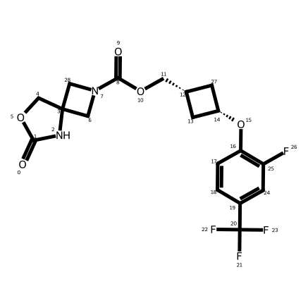 O=C1NC2(CO1)CN(C(=O)OC[C@H]1C[C@@H](Oc3ccc(C(F)(F)F)cc3F)C1)C2